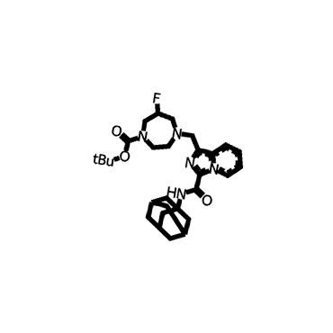 CC(C)(C)OC(=O)N1CCN(Cc2nc(C(=O)NC34CC5CC(CC(C5)C3)C4)n3ccccc23)CC(F)C1